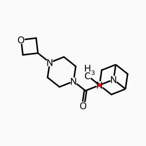 CCN1C2CC1CN(C(=O)N1CCN(C3COC3)CC1)C2